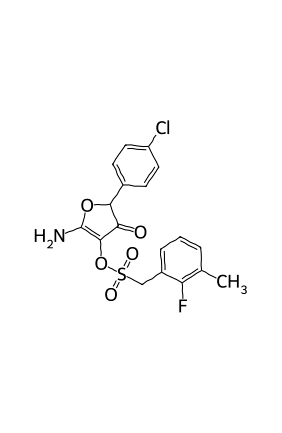 Cc1cccc(CS(=O)(=O)OC2=C(N)OC(c3ccc(Cl)cc3)C2=O)c1F